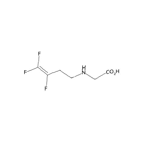 O=C(O)CNCCC(F)=C(F)F